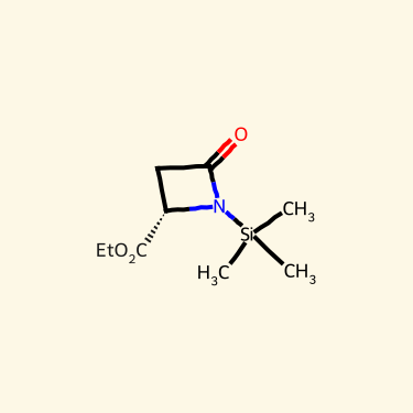 CCOC(=O)[C@@H]1CC(=O)N1[Si](C)(C)C